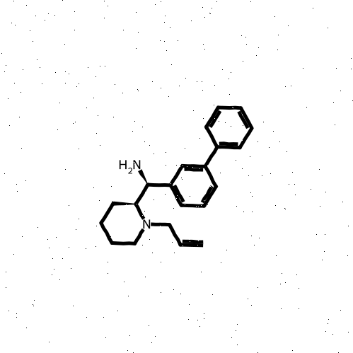 C=CCN1CCCC[C@H]1[C@@H](N)c1cccc(-c2ccccc2)c1